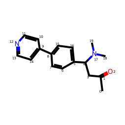 CC(=O)CC(c1ccc(-c2ccncc2)cc1)N(C)C